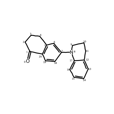 O=C1CCCc2cc(N3CCCc4ccccc43)ccc21